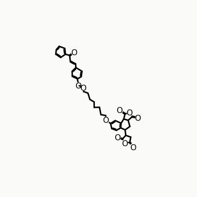 O=C1CC(C2CC3C(=O)OC(=O)C3c3cc(OCCCCCCCCOOc4ccc(/C=C/C(=O)c5ccccc5)cc4)ccc32)C(=O)O1